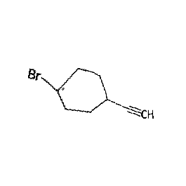 C#CC1CC[C](Br)CC1